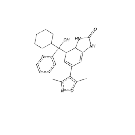 Cc1noc(C)c1C1=CC(C(O)(c2ccccn2)C2CCCCC2)C2NC(=O)NC2=C1